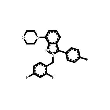 Fc1ccc(-c2c3cccc(N4CCOCC4)c3nn2Cc2ccc(F)cc2F)cc1